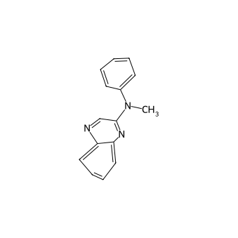 CN(c1ccccc1)c1cnc2ccccc2n1